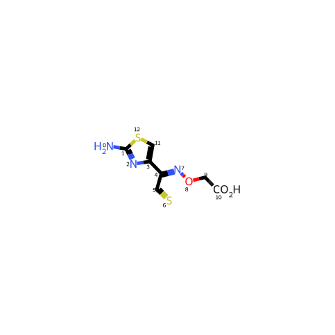 Nc1nc(C([C]=S)=NOCC(=O)O)cs1